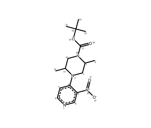 CC1CN(c2ccncc2[N+](=O)[O-])C(C)CN1C(=O)OC(C)(C)C